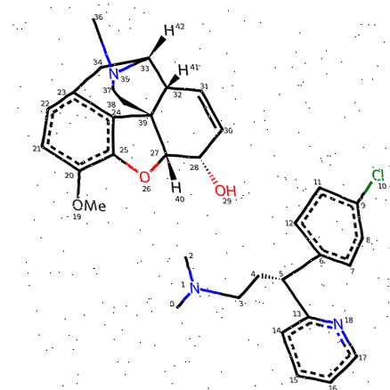 CN(C)CC[C@H](c1ccc(Cl)cc1)c1ccccn1.COc1ccc2c3c1O[C@H]1[C@@H](O)C=C[C@H]4[C@@H](C2)N(C)CC[C@@]341